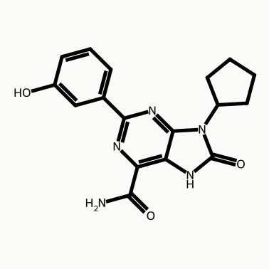 NC(=O)c1nc(-c2cccc(O)c2)nc2c1[nH]c(=O)n2C1CCCC1